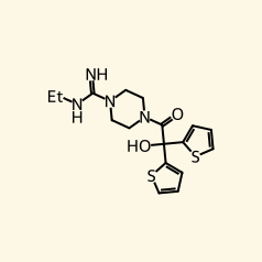 CCNC(=N)N1CCN(C(=O)C(O)(c2cccs2)c2cccs2)CC1